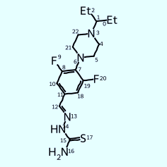 CCC(CC)N1CCN(c2c(F)cc(/C=N/NC(N)=S)cc2F)CC1